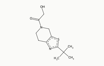 CC(C)(C)c1nc2c(s1)CN(C(=O)CO)CC2